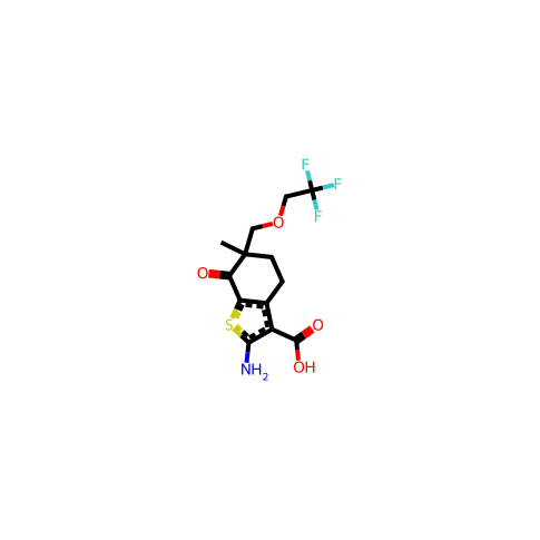 CC1(COCC(F)(F)F)CCc2c(sc(N)c2C(=O)O)C1=O